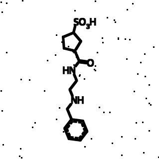 O=C(NCCNCc1ccccc1)C1CCC(S(=O)(=O)O)C1